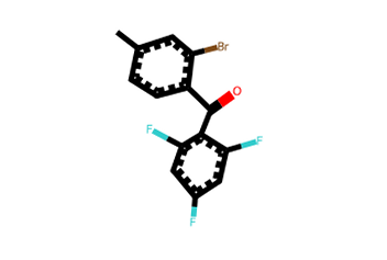 Cc1ccc(C(=O)c2c(F)cc(F)cc2F)c(Br)c1